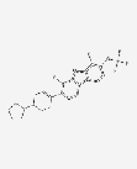 Fc1c(OC(F)(F)F)ccc2c1oc1c(F)c(C3=CCC(C4CCCC4)CC3)ccc12